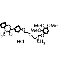 COc1ccc(OCN(C)CCCCCOc2ccc(C3Sc4ccccc4N(C)C3=O)cc2)c(OC)c1OC.Cl